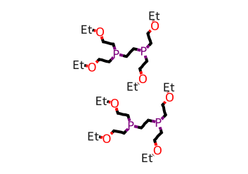 CCOCCP(CCOCC)CCP(CCOCC)CCOCC.CCOCCP(CCOCC)CCP(CCOCC)CCOCC